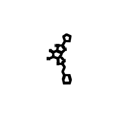 CCn1c(=O)c2[nH]c(C3CCCC3)nc2n2nc(CCc3ccccc3)nc12